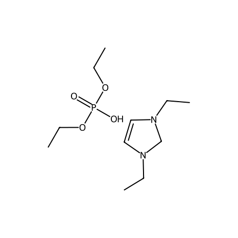 CCN1C=CN(CC)C1.CCOP(=O)(O)OCC